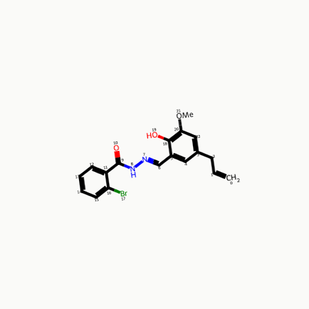 C=CCc1cc(C=NNC(=O)c2ccccc2Br)c(O)c(OC)c1